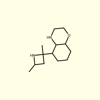 CC1CC(C)(C2CCCC3OCCNC32)N1